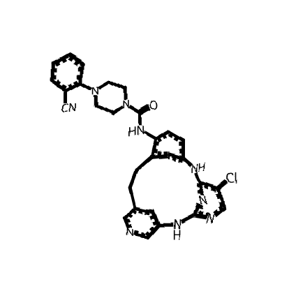 N#Cc1ccccc1N1CCN(C(=O)Nc2ccc3cc2CCc2cncc(c2)Nc2ncc(Cl)c(n2)N3)CC1